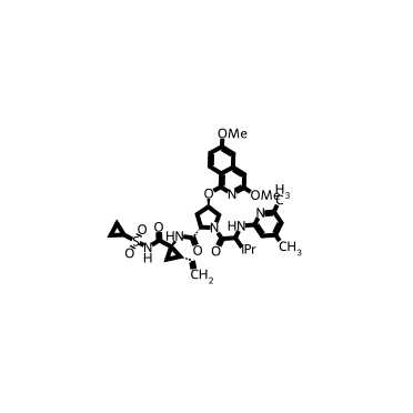 C=C[C@@H]1C[C@]1(NC(=O)[C@@H]1C[C@@H](Oc2nc(OC)cc3cc(OC)ccc23)CN1C(=O)C(Nc1cc(C)cc(C)n1)C(C)C)C(=O)NS(=O)(=O)C1CC1